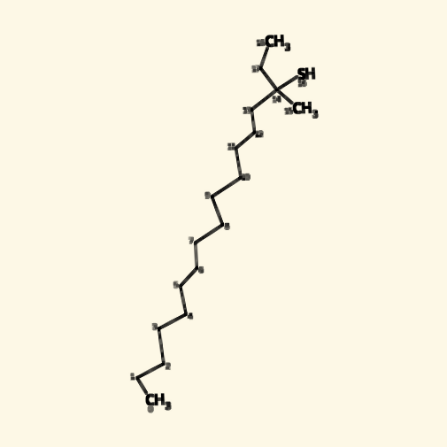 CCCCCCCCCCCCCCC(C)(S)CC